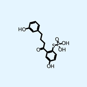 O=C(CCCc1cccc(O)c1)c1cc(O)ccc1SP(=O)(O)O